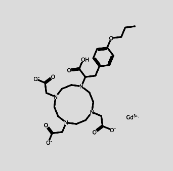 CCCOc1ccc(CC(C(=O)O)N2CCN(CC(=O)[O-])CCN(CC(=O)[O-])CCN(CC(=O)[O-])CC2)cc1.[Gd+3]